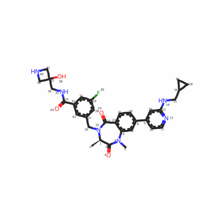 C[C@@H]1C(=O)N(C)c2cc(-c3ccnc(NCC4CC4)c3)ccc2C(=O)N1Cc1cc(F)cc(C(=O)NCC2(O)CNC2)c1